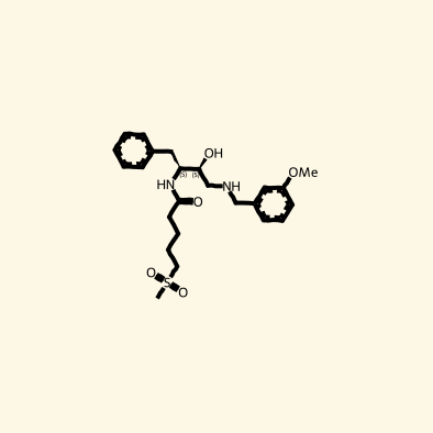 COc1cccc(CNC[C@H](O)[C@H](Cc2ccccc2)NC(=O)CCCCS(C)(=O)=O)c1